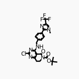 Cn1cc(C(F)(F)F)nc1-c1ccc(CNc2nc(Cl)nc3c2C(=O)N(C(=O)OC(C)(C)C)CC3)cc1